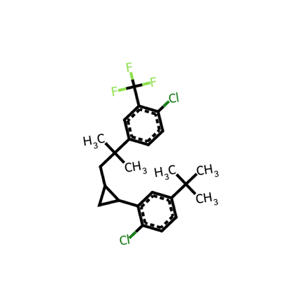 CC(C)(C)c1ccc(Cl)c(C2CC2CC(C)(C)c2ccc(Cl)c(C(F)(F)F)c2)c1